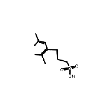 CC(C)=CC(CCCS(=O)(=O)O)=C(C)C